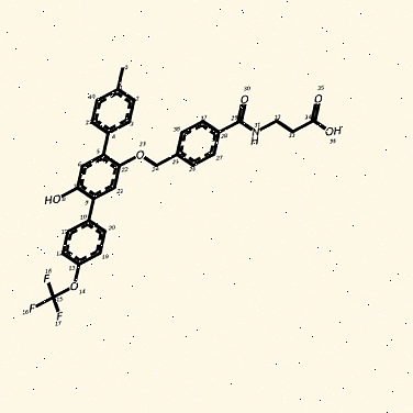 Cc1ccc(-c2cc(O)c(-c3ccc(OC(F)(F)F)cc3)cc2OCc2ccc(C(=O)NCCC(=O)O)cc2)cc1